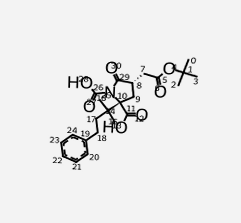 CC(C)(C)OC(=O)C[C@@H]1C[C@@](C(=O)O)(C(C)(C)CCc2ccccc2)N(C(=O)O)C1=O